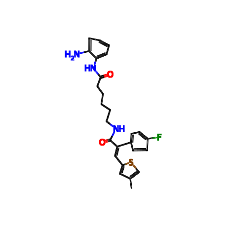 Cc1csc(C=C(C(=O)NCCCCCC(=O)Nc2ccccc2N)c2ccc(F)cc2)c1